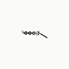 CCCCCCCC[C@@H]1CO[C@@H](C2CCC(c3ccc(-c4ccc(C=O)cc4)cc3)CC2)O[C@H]1C